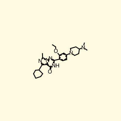 CCOc1cc(N2CCC(N(C)C)CC2)ccc1-c1nn2c(C)nc(C3CCCCC3)c2c(=O)[nH]1